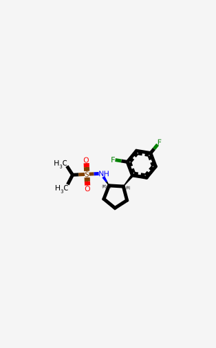 CC(C)S(=O)(=O)N[C@@H]1CCC[C@@H]1c1ccc(F)cc1F